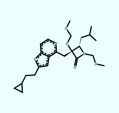 COCO[C@@]1(Cc2nccc3sc(CCC4CC4)cc23)C(=O)N(COC)[C@H]1CC(C)C